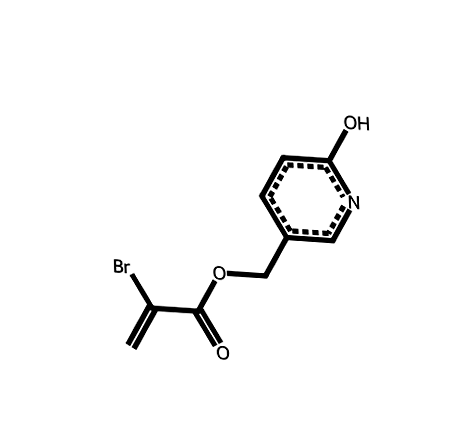 C=C(Br)C(=O)OCc1ccc(O)nc1